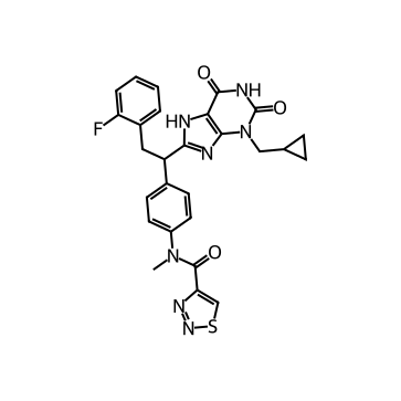 CN(C(=O)c1csnn1)c1ccc(C(Cc2ccccc2F)c2nc3c([nH]2)c(=O)[nH]c(=O)n3CC2CC2)cc1